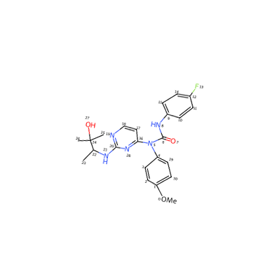 COc1ccc(N(C(=O)Nc2ccc(F)cc2)c2ccnc(NC(C)C(C)(C)O)n2)cc1